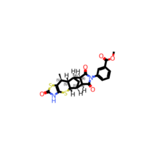 COC(=O)c1cccc(N2C(=O)[C@@H]3[C@H]4C[C@H]([C@@H]5Sc6[nH]c(=O)sc6[C@@H](C)[C@H]45)[C@@H]3C2=O)c1